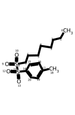 CCCCCCCCS(=O)(=O)S(=O)(=O)c1ccc(C)cc1